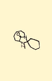 O=C1C2CCCCCN1C1(CCCCC1)N2